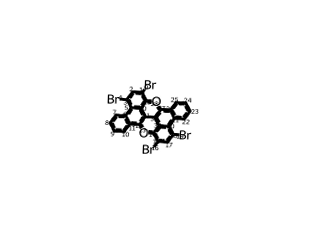 Brc1cc(Br)c2c3ccccc3c3oc4c(Br)cc(Br)c5c6ccccc6c6oc1c2c3-c6c45